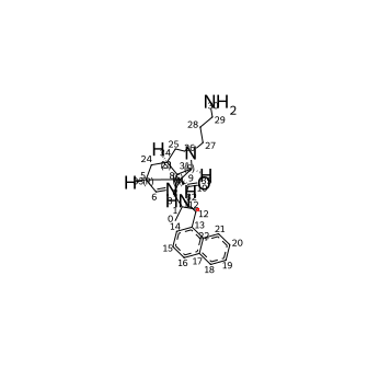 CC(C)C[C@@H]1[C@@H]2C=N[C@@]3(C(=O)NCc4cccc5ccccc45)[C@@H](C2)CN(CCCN)[C@@H]13